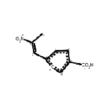 C/C(=C\c1ccc(C(=O)O)cc1)[N+](=O)[O-]